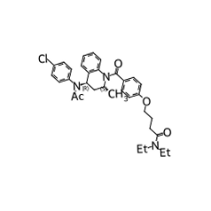 CCN(CC)C(=O)CCCOc1ccc(C(=O)N2c3ccccc3[C@H](N(C(C)=O)c3ccc(Cl)cc3)C[C@@H]2C)cc1